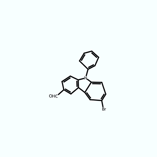 O=Cc1ccc2c(c1)c1cc(Br)ccc1n2-c1ccccc1